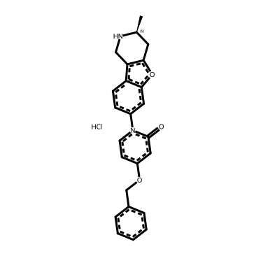 C[C@H]1Cc2oc3cc(-n4ccc(OCc5ccccc5)cc4=O)ccc3c2CN1.Cl